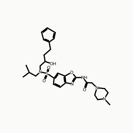 CC(C)CN(CC(O)[CH]Cc1ccccc1)S(=O)(=O)c1ccc2nc(NC(=O)CN3CCN(C)CC3)oc2c1